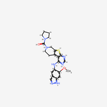 COc1cc2[nH]ncc2cc1Nc1ncnc2sc3c(c12)CCN(C(=O)N1CCCC1)C3